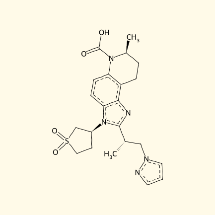 C[C@@H](Cn1cccn1)c1nc2c3c(ccc2n1[C@H]1CCS(=O)(=O)C1)N(C(=O)O)[C@@H](C)CC3